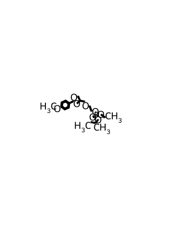 CCOP(=O)(OCCOCC1COC(c2ccc(OC)cc2)O1)OC(C)CC